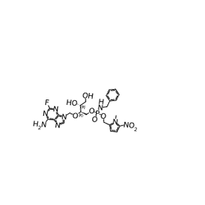 Cn1c(COP(=O)(NCc2ccccc2)OC[C@@H](OCn2cnc3c(N)nc(F)nc32)[C@H](O)CO)ccc1[N+](=O)[O-]